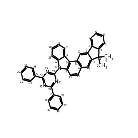 CC1(C)c2ccccc2-c2cc3c(ccc4c3c3ccccc3n4-c3nc(-c4ccccc4)nc(-c4ccccc4)n3)cc21